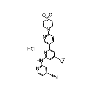 Cl.N#Cc1ccnc(Nc2cc(C3CC3)cc(-c3ccc(N4CCS(=O)(=O)CC4)nc3)n2)c1